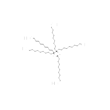 CCCCCCCCCCC1=NC(CCCCCCCCCC)(CCCCCCCCCC)C(CCCCCCCCCC)(CCCCCCCCCC)O1